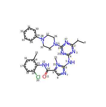 CCc1nc(Nc2ncc(C(=O)Nc3c(C)cccc3Cl)n2C)nc(N2CCN(c3ccccc3)CC2)n1